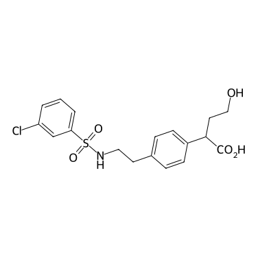 O=C(O)C(CCO)c1ccc(CCNS(=O)(=O)c2cccc(Cl)c2)cc1